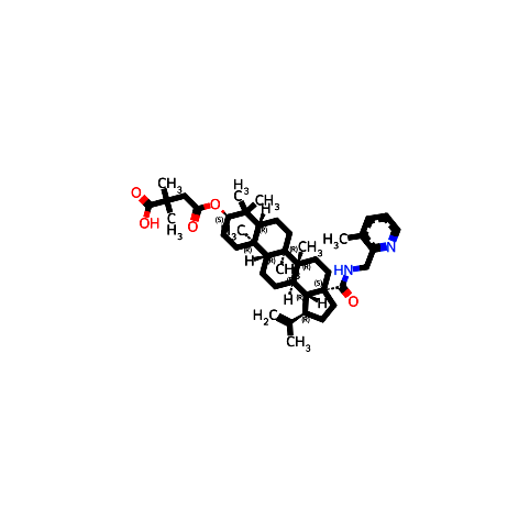 C=C(C)[C@@H]1CC[C@]2(C(=O)NCc3ncccc3C)CC[C@]3(C)[C@H](CC[C@@H]4[C@@]5(C)CC[C@H](OC(=O)CC(C)(C)C(=O)O)C(C)(C)[C@@H]5CC[C@]43C)[C@@H]12